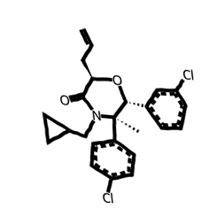 C=CC[C@H]1O[C@H](c2cccc(Cl)c2)[C@@](C)(c2ccc(Cl)cc2)N(CC2CC2)C1=O